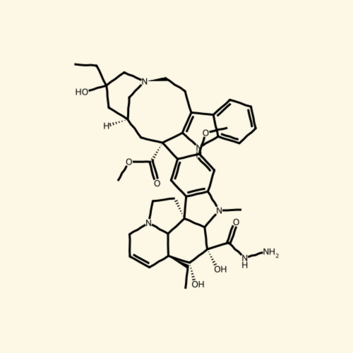 CCC1(O)C[C@H]2C[N@](CCc3c([nH]c4ccccc34)[C@@](C(=O)OC)(c3cc4c(cc3OC)N(C)C3[C@]45CCN4CC=C[C@](CC)(C45)[C@@H](O)[C@]3(O)C(=O)NN)C2)C1